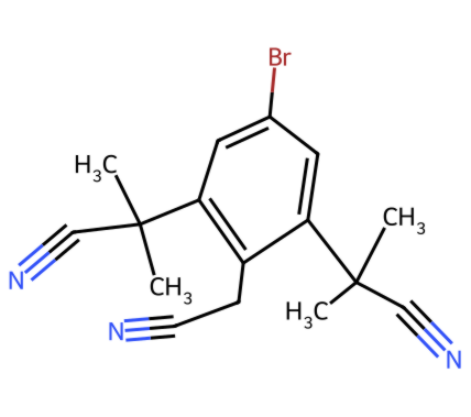 CC(C)(C#N)c1cc(Br)cc(C(C)(C)C#N)c1CC#N